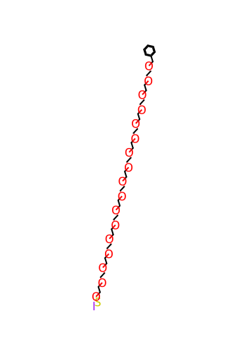 ISOCCOCCOCCOCCOCCOCCOCCOCCOCCOCCOCCOCCOCCOCCOCCOCCOCc1ccccc1